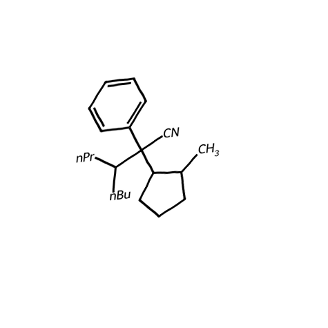 CCCCC(CCC)C(C#N)(c1ccccc1)C1CCCC1C